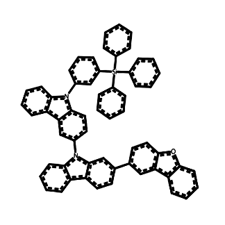 c1ccc([Si](c2ccccc2)(c2ccccc2)c2cccc(-n3c4ccccc4c4cc(-n5c6ccccc6c6ccc(-c7ccc8oc9ccccc9c8c7)cc65)ccc43)c2)cc1